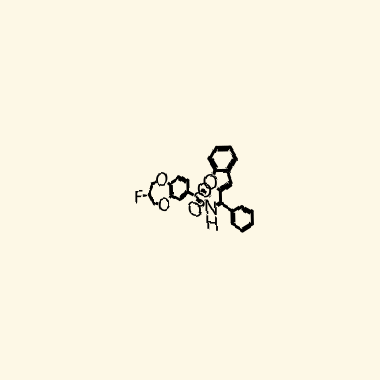 O=S(=O)(NC(c1ccccc1)c1cc2ccccc2o1)c1ccc2c(c1)OC[C@@H](F)CO2